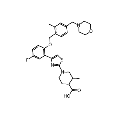 Cc1cc(CN2CCOCC2)ccc1COc1ccc(F)cc1-c1csc(N2CCC(C(=O)O)C(C)C2)n1